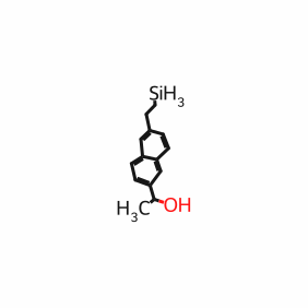 CC(O)c1ccc2cc(CC[SiH3])ccc2c1